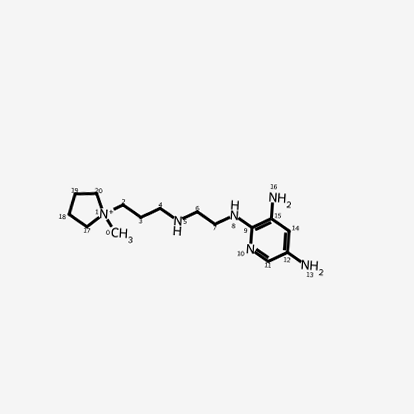 C[N+]1(CCCNCCNc2ncc(N)cc2N)CCCC1